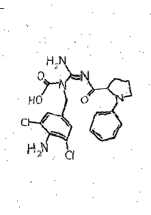 NC(=NC(=O)C1CCCN1c1ccccc1)N(Cc1cc(Cl)c(N)c(Cl)c1)C(=O)O